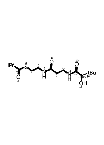 CC(C)C(=O)SCCNC(=O)CCNC(=O)[C@H](O)C(C)(C)C